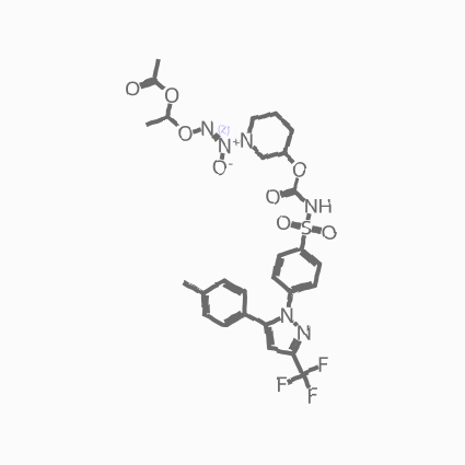 CC(=O)OC(C)O/N=[N+](\[O-])N1CCCC(OC(=O)NS(=O)(=O)c2ccc(-n3nc(C(F)(F)F)cc3-c3ccc(C)cc3)cc2)C1